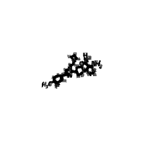 Cc1ccc(-c2cn(CCN3CCC3)c(C3CCN(c4ncnc(N)c4C(N)=O)CC3)n2)cc1F